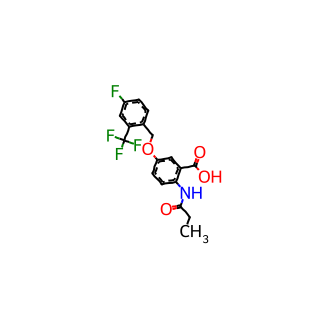 CCC(=O)Nc1ccc(OCc2ccc(F)cc2C(F)(F)F)cc1C(=O)O